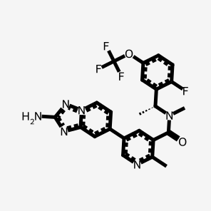 Cc1ncc(-c2ccn3nc(N)nc3c2)cc1C(=O)N(C)[C@H](C)c1cc(OC(F)(F)F)ccc1F